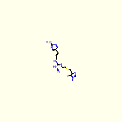 Cc1[nH]cnc1CSCCN=C(NC#N)NCC=Cc1cnc(N)nc1